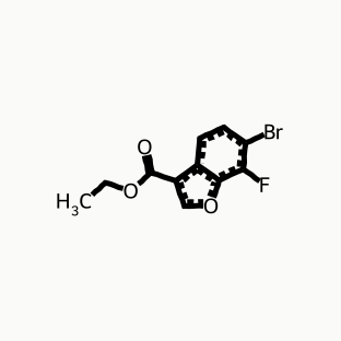 CCOC(=O)c1coc2c(F)c(Br)ccc12